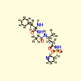 CN[C@H](C(=O)NC(C(=O)N(C)[C@H](/C=C(\C)C(=O)NS(=O)(=O)Cc1cccnc1)C(C)C)C(C)(C)C)C(C)(C)c1ccccc1